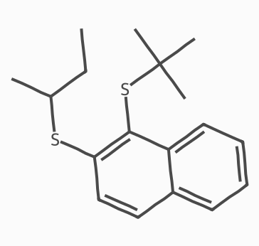 CCC(C)Sc1ccc2ccccc2c1SC(C)(C)C